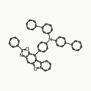 c1ccc(-c2ccc(N(c3ccc(-c4c5oc(-c6ccccc6)nc5cc5oc6ccccc6c45)cc3)c3cccc(-c4ccccc4)c3)cc2)cc1